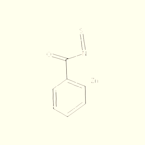 O=C(N=S)c1ccccc1.[Zn]